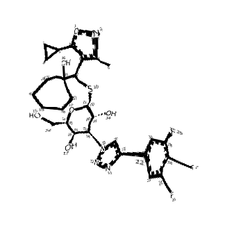 Cc1noc(C2CC2)c1C(S[C@@H]1O[C@H](CO)[C@H](O)[C@H](n2cc(-c3cc(F)c(F)c(F)c3)nn2)[C@H]1O)C1(O)CCCCC1